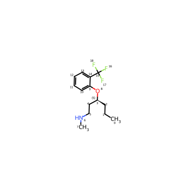 CCC[C@@H](CCNC)Oc1ccccc1C(F)(F)F